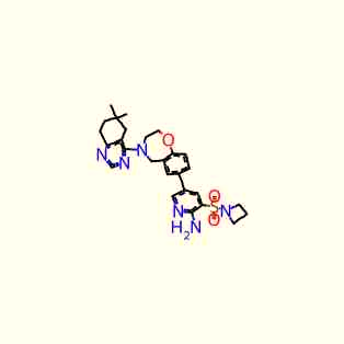 CC1(C)CCc2ncnc(N3CCOc4ccc(-c5cnc(N)c(S(=O)(=O)N6CCC6)c5)cc4C3)c2C1